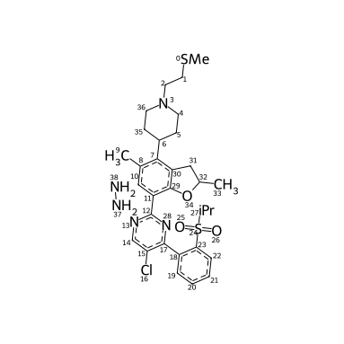 CSCCN1CCC(c2c(C)cc(-c3ncc(Cl)c(-c4ccccc4S(=O)(=O)C(C)C)n3)c3c2CC(C)O3)CC1.NN